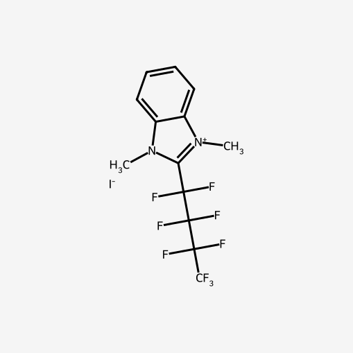 Cn1c(C(F)(F)C(F)(F)C(F)(F)C(F)(F)F)[n+](C)c2ccccc21.[I-]